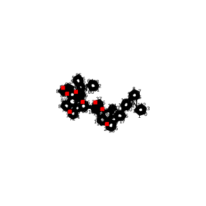 c1ccc(-n2c3ccccc3c3ccc(-c4ccc5c(c4)C4(c6ccccc6-5)c5ccccc5C5(c6ccccc6)c6ccc(-c7cc(-c8ccc9c%10ccccc%10n(-c%10ccccc%10)c9c8)c8c(c7)-c7ccccc7C87c8ccccc8C8(c9ccccc9)c9ccccc9-c9cccc7c98)cc6-c6cccc4c65)cc32)cc1